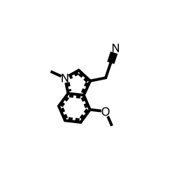 COc1cccc2c1c(CC#N)cn2C